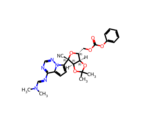 CN(C)C=Nc1ncnn2c([C@]3(C#N)O[C@H](COC(=O)Oc4ccccc4)[C@H]4OC(C)(C)O[C@H]43)ccc12